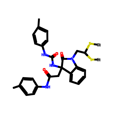 CCSC(CN1C(=O)C(CC(=O)Nc2ccc(C)cc2)(NC(=O)Nc2ccc(C)cc2)c2ccccc21)SCC